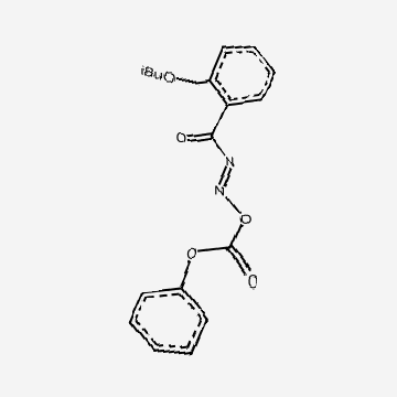 CC(C)COc1ccccc1C(=O)N=NOC(=O)Oc1ccccc1